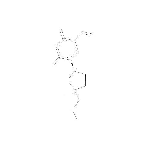 COC[C@]1(F)CC[C@H](n2cc(C=O)c(=O)[nH]c2=S)O1